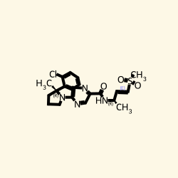 C[C@H](/C=C/S(C)(=O)=O)NC(=O)c1cnc(N2CCC[C@]2(C)c2ccccc2Cl)cn1